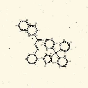 O=C(C=Cc1ccccc1-c1cn(C(c2ccccc2)(c2ccccc2)c2ccccc2)cn1)c1cnc2ccccc2c1